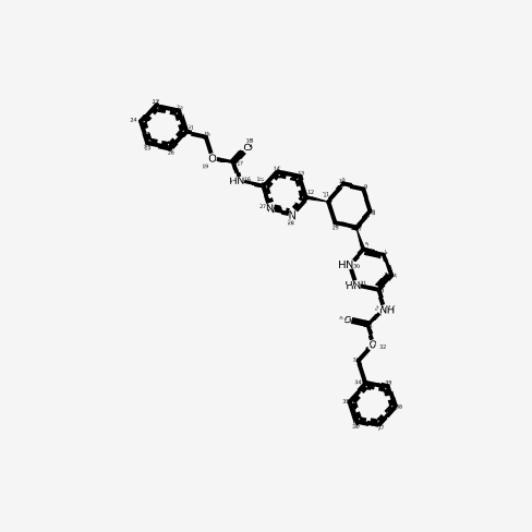 O=C(NC1=CC=C([C@@H]2CCC[C@H](c3ccc(NC(=O)OCc4ccccc4)nn3)C2)NN1)OCc1ccccc1